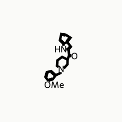 COc1cccc(CN2CCCC(C(=O)c3cc4ccccc4[nH]3)CC2)c1